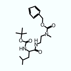 CC(C)CC(NC(=O)OC(C)(C)C)C(=O)NCCN(C)C(=O)OCc1ccccc1